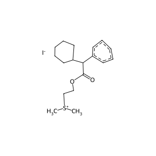 C[S+](C)CCOC(=O)C(c1ccccc1)C1CCCCC1.[I-]